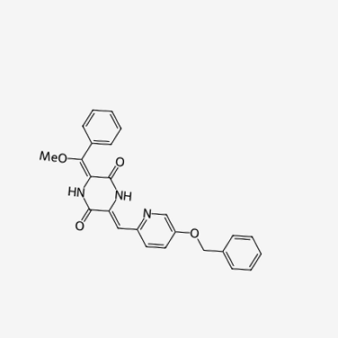 COC(c1ccccc1)=c1[nH]c(=O)c(=Cc2ccc(OCc3ccccc3)cn2)[nH]c1=O